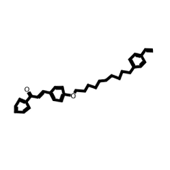 C=Cc1ccc(CCCCCCCCCCOc2ccc(/C=C/C(=O)c3ccccc3)cc2)cc1